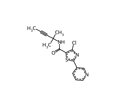 CC#CC(C)(C)NC(=O)c1sc(-c2cccnc2)nc1Cl